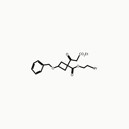 CCOC(=O)CC(=O)C1(C(=O)OCCC(C)C)CC(OCc2ccccc2)C1